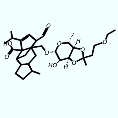 CCOCCC1(C)O[C@H]2[C@H](O)[C@H](OCC34CC5C(C)CCC5C5CC3(C=O)C=C(C(C)C)C54C(=O)O)O[C@H](C)[C@H]2O1